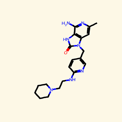 Cc1cc2c([nH]c(=O)n2Cc2ccc(NCCN3CCCCC3)nc2)c(N)n1